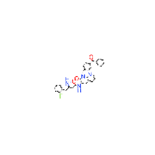 N[C@@H](CC(=O)NC1Cc2cccnc2N(Cc2ccc(C(=O)c3ccccc3)cc2)C1=O)Cc1ccccc1F